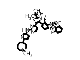 CN1CCCCC(c2ccc(Nc3nccc(-c4sc(C(C)(C)C)nc4-c4cccc(NS(=O)(=O)c5c(F)cccc5F)c4F)n3)cn2)CC1